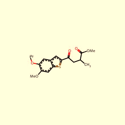 COC(=O)C(C)CC(=O)c1cc2cc(OC(C)C)c(OC)cc2s1